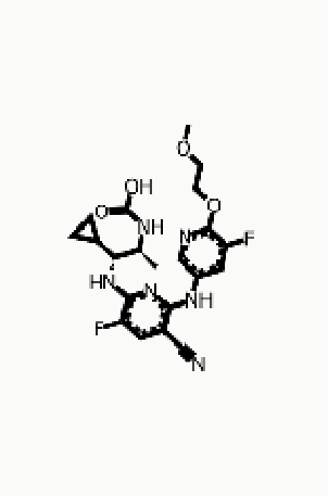 COCCOc1ncc(Nc2nc(N[C@H](C3CC3)[C@H](C)NC(=O)O)c(F)cc2C#N)cc1F